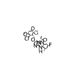 C=CC(=O)Nc1cc(F)cc(C)c1Nc1ncc(OCc2c(Cl)c(OC)cc(OC)c2Cl)cn1